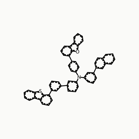 c1cc(-c2cccc(N(c3ccc(-c4cccc5c4oc4ccccc45)cc3)c3cccc(-c4ccc5ccccc5c4)c3)c2)cc(-c2cccc3c2sc2ccccc23)c1